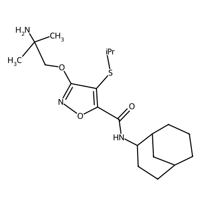 CC(C)Sc1c(OCC(C)(C)N)noc1C(=O)NC1CCC2CCCC1C2